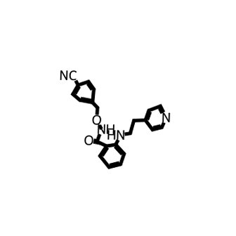 N#Cc1ccc(CONC(=O)c2ccccc2NCCc2ccncc2)cc1